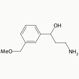 COCc1cccc(C(O)CCN)c1